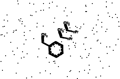 C=CCCC.C=CCCC.C=Cc1ccccc1